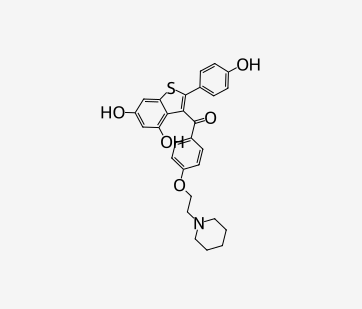 O=C(c1ccc(OCCN2CCCCC2)cc1)c1c(-c2ccc(O)cc2)sc2cc(O)cc(O)c12